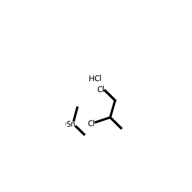 CC(Cl)CCl.Cl.[CH3][Sn][CH3]